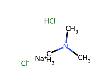 CN(C)C.Cl.[Cl-].[Na+]